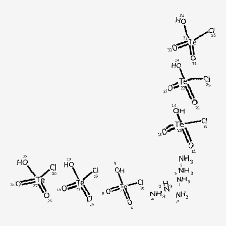 N.N.N.N.N.N.O=[Te](=O)(O)Cl.O=[Te](=O)(O)Cl.O=[Te](=O)(O)Cl.O=[Te](=O)(O)Cl.O=[Te](=O)(O)Cl.O=[Te](=O)(O)Cl